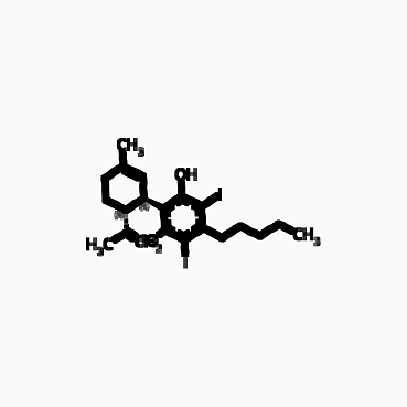 C=C(C)[C@@H]1CCC(C)=C[C@H]1c1c(O)c(I)c(CCCCC)c(I)c1O